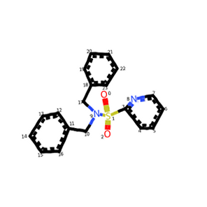 O=S(=O)(c1ccccn1)N(Cc1ccccc1)Cc1ccccc1